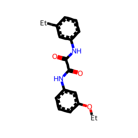 CCOc1cccc(NC(=O)C(=O)Nc2cccc(CC)c2)c1